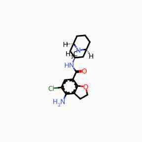 CN1[C@@H]2CCC[C@H]1C[C@@H](NC(=O)c1cc(Cl)c(N)c3c1OCC3)C2